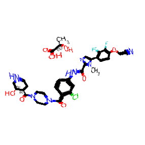 C[C@H](O)C(=O)O.Cn1c(-c2ccc(OCC#N)c(F)c2F)cnc1C(=O)Nc1ccc(C(=O)N2CCN(C(=O)[C@@H]3CCNC[C@H]3O)CC2)c(Cl)c1